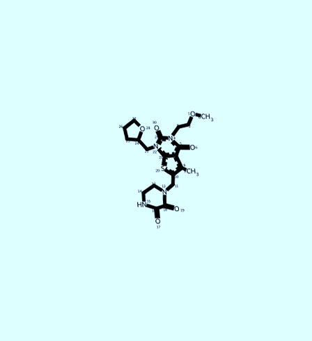 COCCn1c(=O)c2c(C)c(CN3CCNC(=O)C3=O)sc2n(CC2CCCO2)c1=O